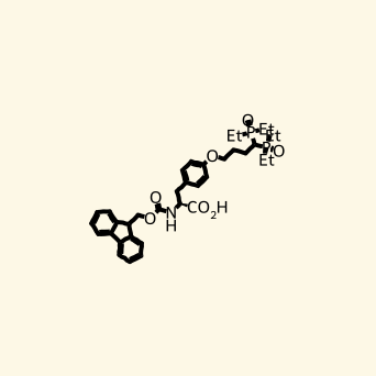 CCP(=O)(CC)C(CCCOc1ccc(C[C@H](NC(=O)OCC2c3ccccc3-c3ccccc32)C(=O)O)cc1)P(=O)(CC)CC